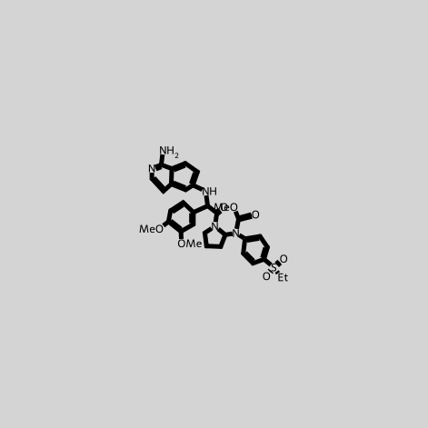 CCS(=O)(=O)c1ccc(N(C(=O)OC)C2CCCN2C(=O)C(Nc2ccc3c(N)nccc3c2)c2ccc(OC)c(OC)c2)cc1